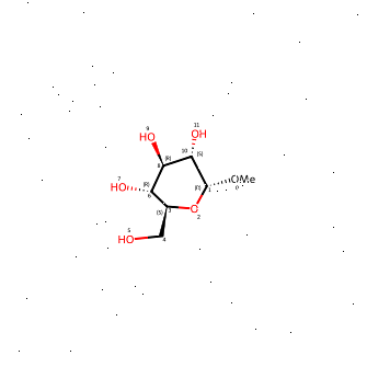 CO[C@@H]1O[C@@H](CO)[C@H](O)[C@@H](O)[C@@H]1O